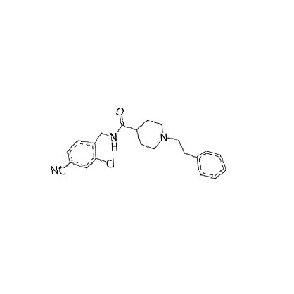 N#Cc1ccc(CNC(=O)C2CCN(CCc3ccccc3)CC2)c(Cl)c1